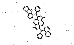 Cc1cc(B(c2ccccc2)c2cccc3ccccc23)c2ccc3c(C)cc(N(c4ccccc4)c4cccc5c4oc4ccccc45)c4ccc1c2c34